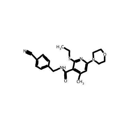 CCSc1nc(N2CCOCC2)cc(C)c1C(=O)NCc1ccc(C#N)cc1